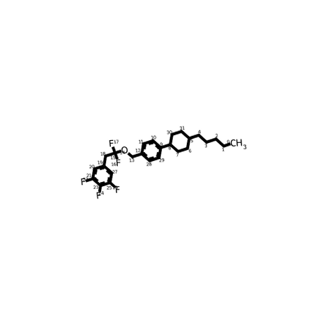 CCCCCC1CCC(c2ccc(COC(F)(F)Cc3cc(F)c(F)c(F)c3)cc2)CC1